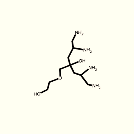 NCC(N)CC(O)(COCCO)CC(N)CN